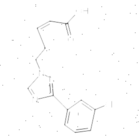 O=C(O)/C=C\CCn1cnc(-c2cccc(Cl)c2)n1